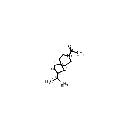 CC(=O)N1CCC2(CC1)CC(C(C)C)CO2